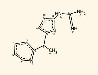 CC(c1ccccn1)c1csc(NC(=N)N)n1